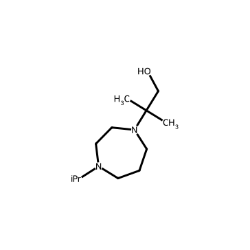 CC(C)N1CCCN(C(C)(C)CO)CC1